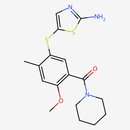 COc1cc(C)c(Sc2cnc(N)s2)cc1C(=O)N1CCCCC1